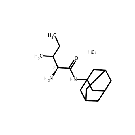 CCC(C)[C@H](N)C(=O)NC12CC3CC(CC(C3)C1)C2.Cl